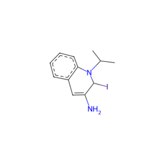 CC(C)N1c2ccccc2C=C(N)C1I